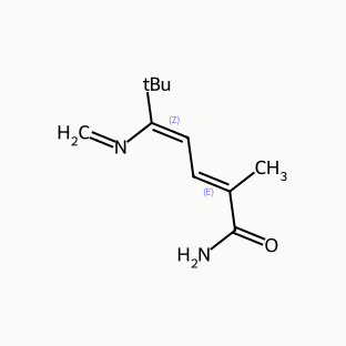 C=N/C(=C\C=C(/C)C(N)=O)C(C)(C)C